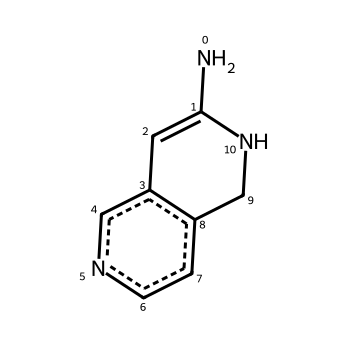 NC1=Cc2cnccc2CN1